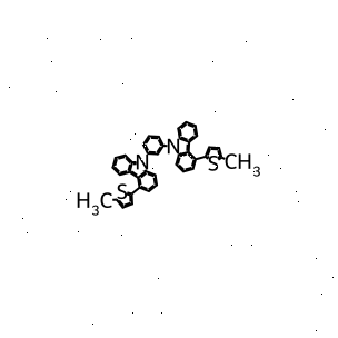 Cc1ccc(-c2cccc3c2c2ccccc2n3-c2cccc(-n3c4ccccc4c4c(-c5ccc(C)s5)cccc43)c2)s1